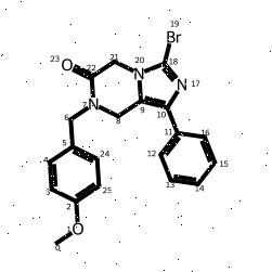 COc1ccc(CN2Cc3c(-c4ccccc4)nc(Br)n3CC2=O)cc1